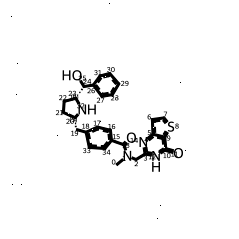 CN(Cc1nc2ccsc2c(=O)[nH]1)C(=O)c1ccc(C[C@@H]2CC[C@H](C(O)c3ccccc3)N2)cc1